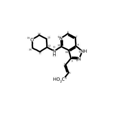 O=C(O)C=Cc1n[nH]c2ccnc(NC3CCOCC3)c12